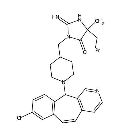 CC(C)CC1(C)NC(=N)N(CC2CCN(C3c4ccc(Cl)cc4C=Cc4ccncc43)CC2)C1=O